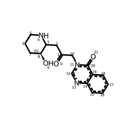 O=C(CC1NCCC[C@@H]1O)Cn1cnc2ccccc2c1=O